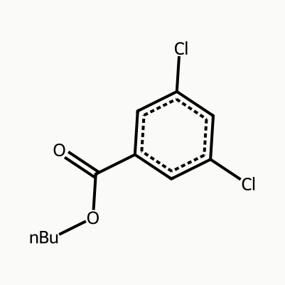 CCCCOC(=O)c1cc(Cl)cc(Cl)c1